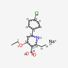 CCOc1cc(-c2ccc(Cl)cc2)nc(CC)c1C(=O)[O-].[Na+]